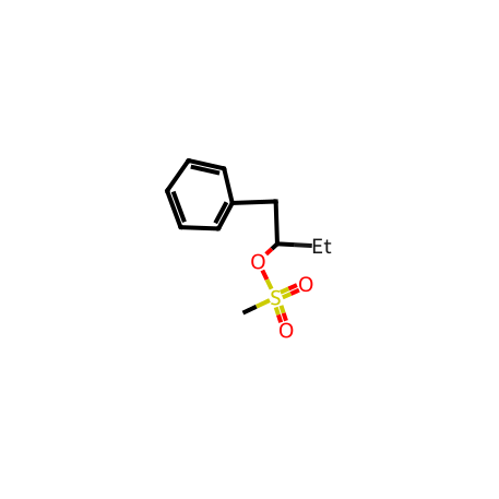 CCC(Cc1ccccc1)OS(C)(=O)=O